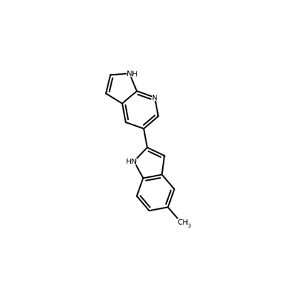 Cc1ccc2[nH]c(-c3cnc4[nH]ccc4c3)cc2c1